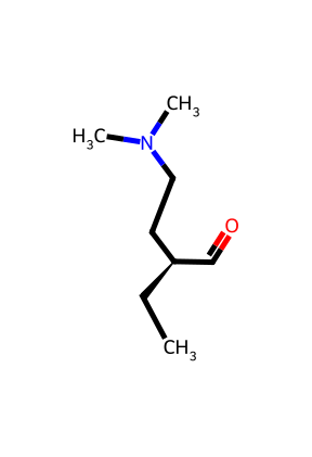 CC[C@H](C=O)CCN(C)C